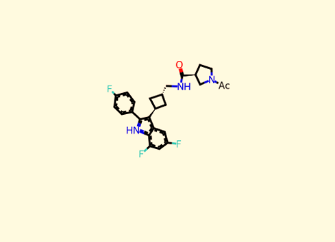 CC(=O)N1CC[C@H](C(=O)NC[C@H]2C[C@H](c3c(-c4ccc(F)cc4)[nH]c4c(F)cc(F)cc43)C2)C1